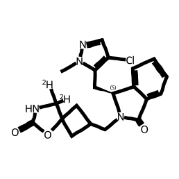 [2H]C1([2H])NC(=O)OC12CC(CN1C(=O)c3ccccc3[C@@H]1Cc1c(Cl)cnn1C)C2